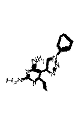 CCc1nc(N)nc(N)c1-c1cn(-c2ccccc2)nn1